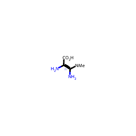 CN/C(N)=C(/N)C(=O)O